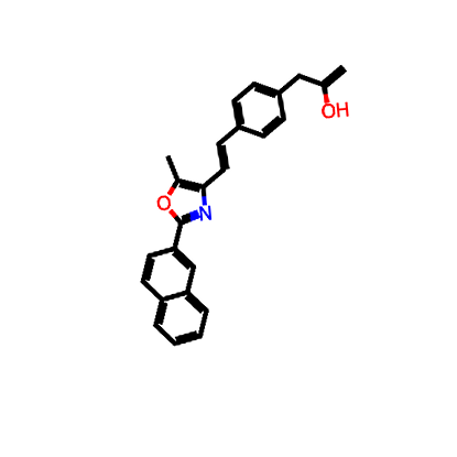 C=C(O)Cc1ccc(/C=C/c2nc(-c3ccc4ccccc4c3)oc2C)cc1